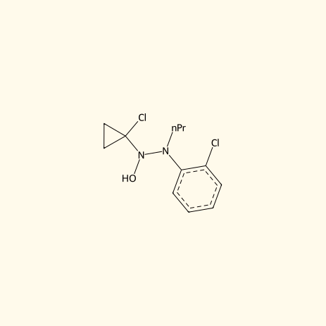 CCCN(c1ccccc1Cl)N(O)C1(Cl)CC1